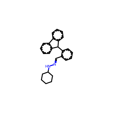 C(=NNC1CCCCC1)c1ccccc1C1c2ccccc2-c2ccccc21